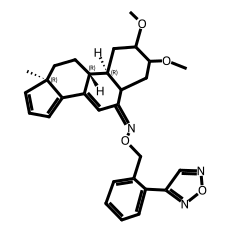 COC1CC2C(=NOCc3ccccc3-c3cnon3)C=C3C4=CC=C[C@@]4(C)CC[C@@H]3[C@H]2CC1OC